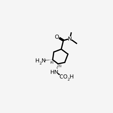 CN(C)C(=O)C1CC[C@H](NC(=O)O)[C@H](N)C1